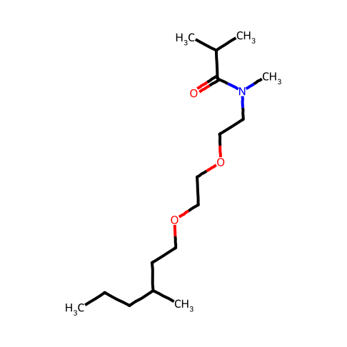 CCCC(C)CCOCCOCCN(C)C(=O)C(C)C